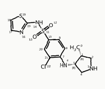 C[C@@H]1CNC[C@@H]1Nc1ccc(S(=O)(=O)Nc2nccs2)cc1Cl